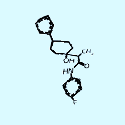 CC(C(=O)Nc1ccc(F)cc1)C1(O)CCC(c2ccccc2)CC1